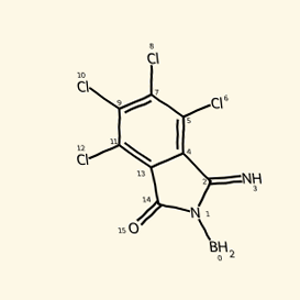 BN1C(=N)c2c(Cl)c(Cl)c(Cl)c(Cl)c2C1=O